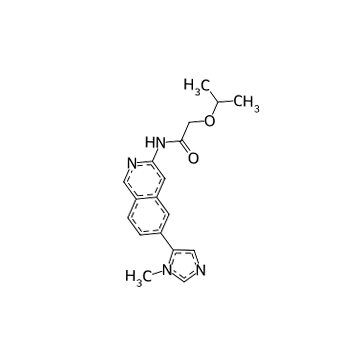 CC(C)OCC(=O)Nc1cc2cc(-c3cncn3C)ccc2cn1